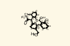 NC(=O)C(c1ccc(CO)c(-c2cccc(Cl)c2CO)n1)c1c(Cl)cccc1Cl